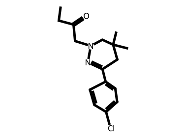 CCC(=O)CN1CC(C)(C)CC(c2ccc(Cl)cc2)=N1